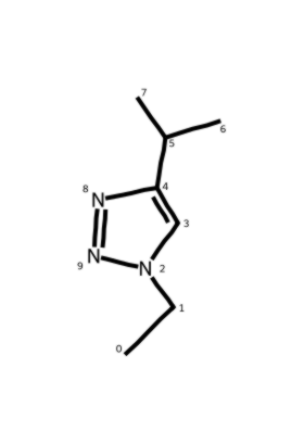 CCn1cc(C(C)C)nn1